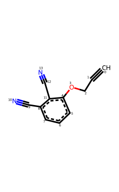 C#CCOc1cccc(C#N)c1C#N